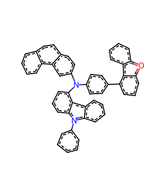 c1ccc(-n2c3ccccc3c3c(N(c4ccc(-c5cccc6oc7ccccc7c56)cc4)c4ccc5ccc6ccccc6c5c4)cccc32)cc1